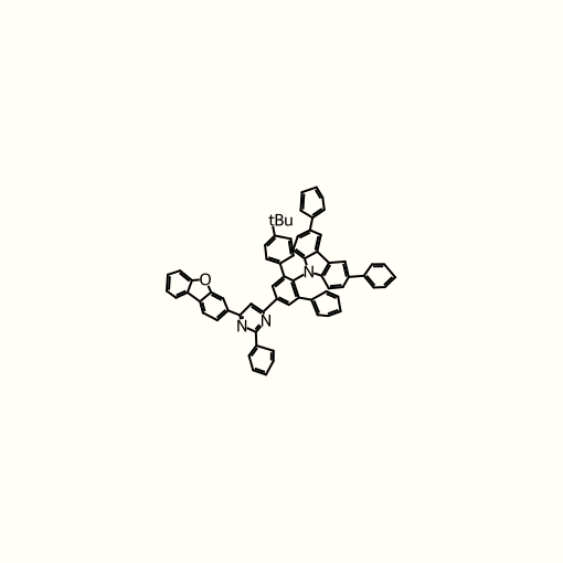 CC(C)(C)c1ccc(-c2cc(-c3cc(-c4ccc5c(c4)oc4ccccc45)nc(-c4ccccc4)n3)cc(-c3ccccc3)c2-n2c3ccc(-c4ccccc4)cc3c3cc(-c4ccccc4)ccc32)cc1